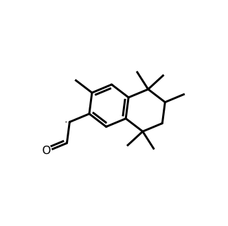 Cc1cc2c(cc1[CH]C=O)C(C)(C)CC(C)C2(C)C